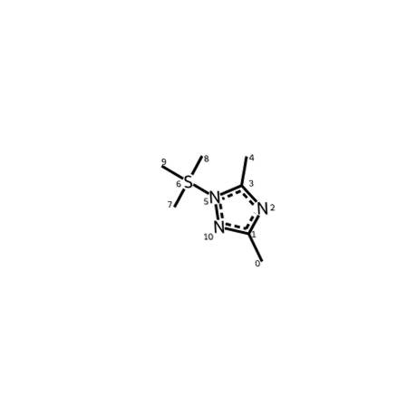 Cc1nc(C)n(S(C)(C)C)n1